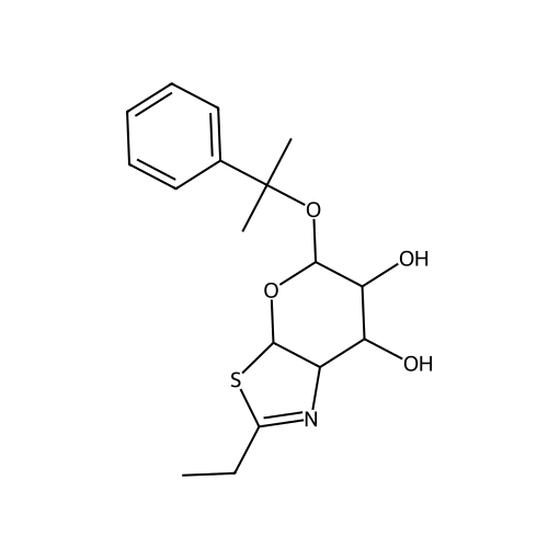 CCC1=NC2C(OC(OC(C)(C)c3ccccc3)C(O)C2O)S1